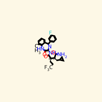 Cc1cccc2c1NC(=O)[C@@H](NC(=O)[C@H](CCC(F)(F)F)[C@H](CC1CC1)C(N)=O)N=C2c1cccc(F)c1